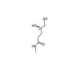 CNC(=O)CC[C@@H](O)CO